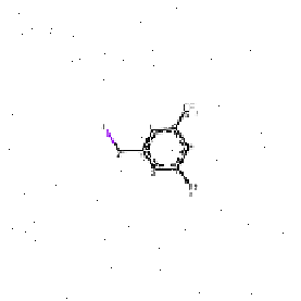 CCc1cc(CI)cc(C(F)(F)F)c1